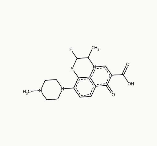 CC1C(F)Sc2c(N3CCN(C)CC3)ccc3c(=O)c(C(=O)O)cn1c23